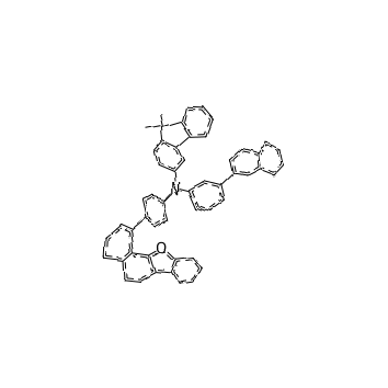 CC1(C)c2ccccc2-c2cc(N(c3ccc(-c4cccc5ccc6c7ccccc7oc6c45)cc3)c3cccc(-c4ccc5ccccc5c4)c3)ccc21